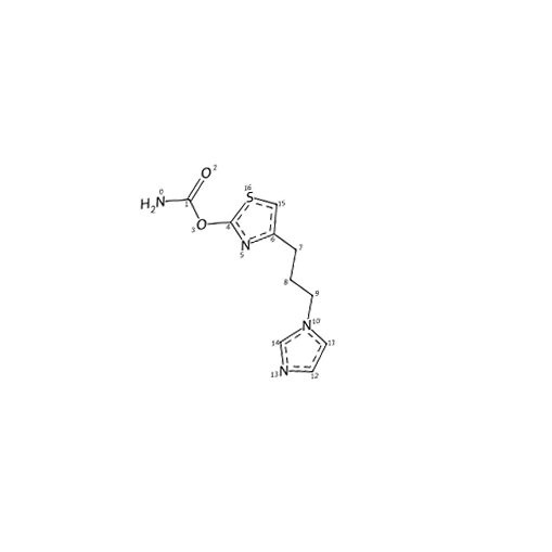 NC(=O)Oc1nc(CCCn2ccnc2)cs1